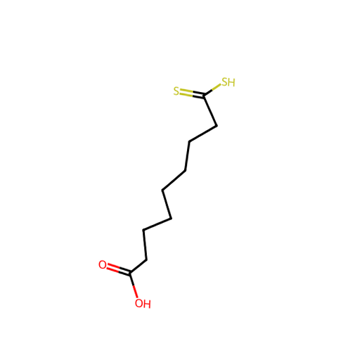 O=C(O)CCCCCCCC(=S)S